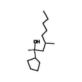 CCCCCC(C)CC(C)(O)C1CCCC1